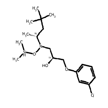 C[C@H](CC(C)(C)C)N(C[C@H](O)COc1cccc(Cl)c1)O[SiH](C)C